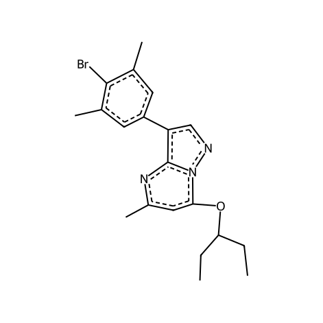 CCC(CC)Oc1cc(C)nc2c(-c3cc(C)c(Br)c(C)c3)cnn12